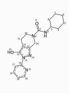 O=C(NC1CCCCC1)N1CCc2c(nn(-c3ccccn3)c2O)C1